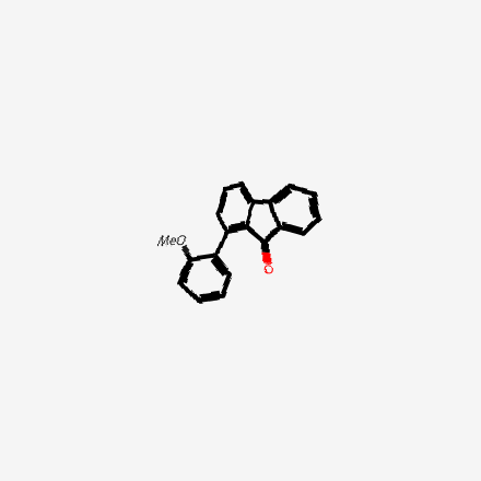 COc1ccccc1-c1cccc2c1C(=O)c1ccccc1-2